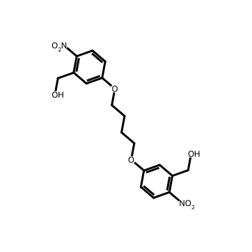 O=[N+]([O-])c1ccc(OCCCCOc2ccc([N+](=O)[O-])c(CO)c2)cc1CO